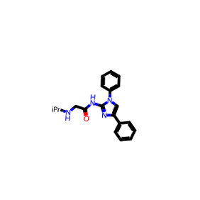 CC(C)NCC(=O)Nc1nc(-c2ccccc2)cn1-c1ccccc1